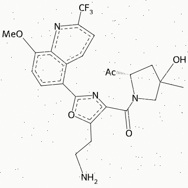 COc1ccc(-c2nc(C(=O)N3CC(C)(O)C[C@H]3C(C)=O)c(CCN)o2)c2ccc(C(F)(F)F)nc12